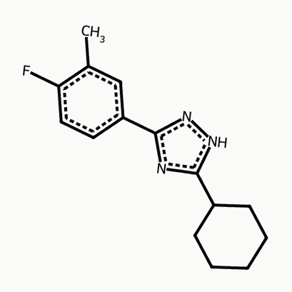 Cc1cc(-c2n[nH]c(C3CCCCC3)n2)ccc1F